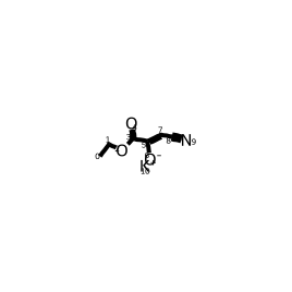 CCOC(=O)C([O-])=CC#N.[K+]